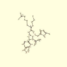 CCCCN(CCCCN(C)C)C(=O)CN1C[C@H](c2ccc3c(c2)OCO3)[C@H](C(=O)O)[C@H]1CCc1ncc(C)o1